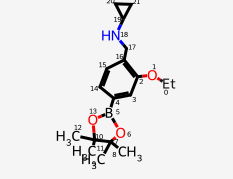 CCOc1cc(B2OC(C)(C)C(C)(C)O2)ccc1CNC1CC1